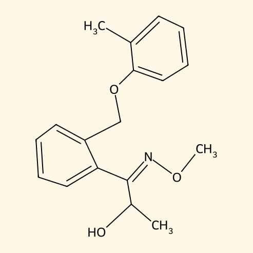 CON=C(c1ccccc1COc1ccccc1C)C(C)O